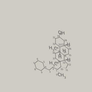 C[C@H](CCC1CCCCC1)[C@H]1CC[C@H]2[C@@H]3CC[C@H]4C[C@@H](O)CC[C@]4(C)[C@H]3CC[C@]12C